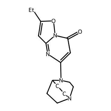 CCc1cc2nc(N3CCN4CCC3CC4)cc(=O)n2o1